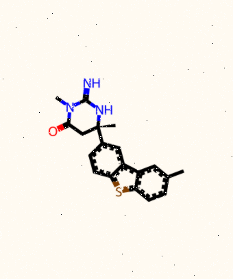 Cc1ccc2sc3ccc([C@]4(C)CC(=O)N(C)C(=N)N4)cc3c2c1